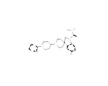 CN(C)C(=O)N1CC2(CCN(C3CCN(c4nccnc4C#N)CC3)CC2)c2cc(F)ccc21